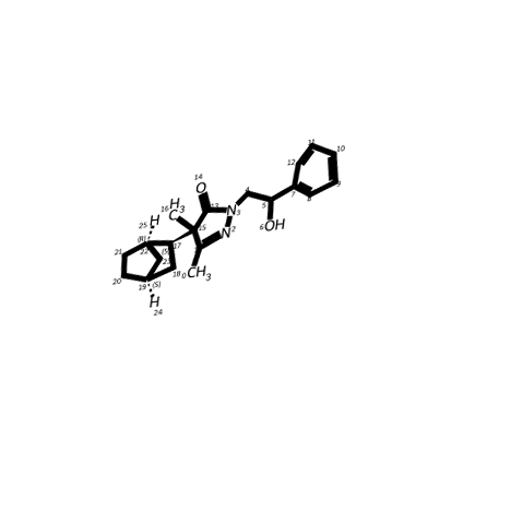 CC1=NN(CC(O)c2ccccc2)C(=O)C1(C)[C@H]1C[C@H]2CC[C@@H]1C2